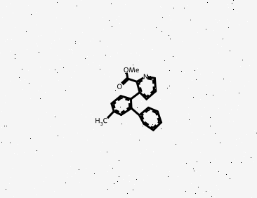 COC(=O)c1ncccc1-c1ccc(C)cc1-c1ccccc1